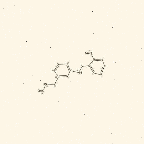 COc1ccccc1CNc1cccc(CNC=O)c1